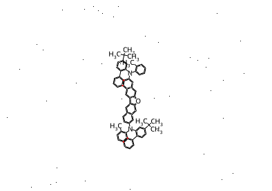 Cc1ccccc1N(c1ccc2cc3c(cc2c1)oc1cc2cc(N(c4ccccc4C)c4cc(C(C)(C)C)ccc4-c4ccccc4)ccc2cc13)c1cc(C(C)(C)C)ccc1-c1ccccc1